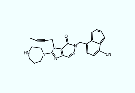 CC#CCn1c(N2CCCNCC2)nc2cnn(Cc3ncc(C#N)c4ccccc34)c(=O)c21